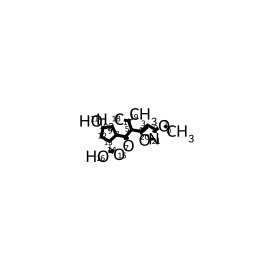 COc1cc(C(C(=O)C2C[C@H](O)C[C@H]2C(=O)O)C(C)C)on1